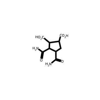 NC(=O)C1CC(C(=O)O)C(C(=O)O)C1C(N)=O